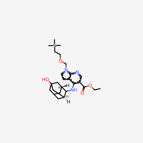 CCOC(=O)c1cnc2c(ccn2COCC[Si](C)(C)C)c1NC1[C@@H]2CC3C[C@H]1CC(O)(C3)C2